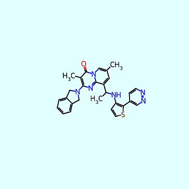 Cc1cc(C(C)Nc2ccsc2-c2ccnnc2)c2nc(N3Cc4ccccc4C3)c(C)c(=O)n2c1